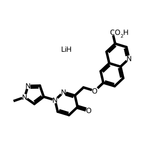 Cn1cc(-n2ccc(=O)c(COc3ccc4ncc(C(=O)O)cc4c3)n2)cn1.[LiH]